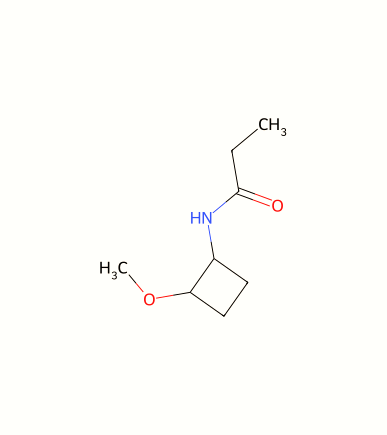 CCC(=O)NC1CCC1OC